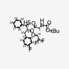 CC(C)(C)OC(=O)NCC(=O)OC(Cc1ccc(F)cc1OCC(F)F)C(S)c1ccccc1